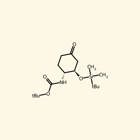 CC(C)(C)OC(=O)N[C@@H]1CCC(=O)C[C@H]1O[Si](C)(C)C(C)(C)C